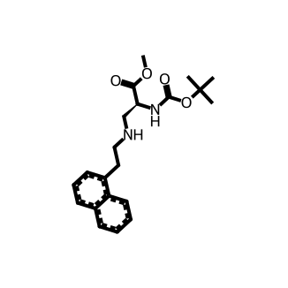 COC(=O)[C@H](CNCCc1cccc2ccccc12)NC(=O)OC(C)(C)C